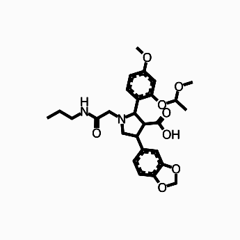 CCCNC(=O)CN1CC(c2ccc3c(c2)OCO3)C(C(=O)O)C1c1ccc(OC)cc1OC(C)OC